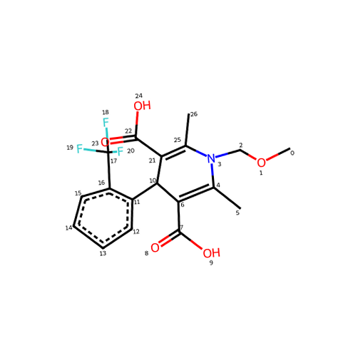 COCN1C(C)=C(C(=O)O)C(c2ccccc2C(F)(F)F)C(C(=O)O)=C1C